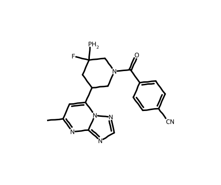 Cc1cc(C2CN(C(=O)c3ccc(C#N)cc3)CC(F)(P)C2)n2ncnc2n1